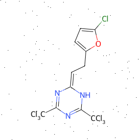 Clc1ccc(CC=C2N=C(C(Cl)(Cl)Cl)N=C(C(Cl)(Cl)Cl)N2)o1